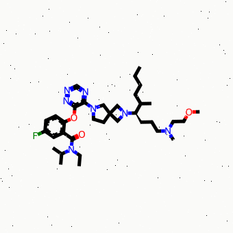 CCCCC(C)[C@@H](CCCN(C)CCOC)N1CC2(CCN(c3ncnnc3Oc3ccc(F)cc3C(=O)N(CC)C(C)C)C2)C1